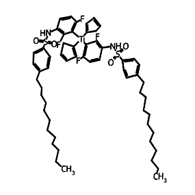 CCCCCCCCCCCCc1ccc(S(=O)(=O)Nc2ccc(F)[c]([Ti]([C]3=CC=CC3)([C]3=CC=CC3)[c]3c(F)ccc(NS(=O)(=O)c4ccc(CCCCCCCCCCCC)cc4)c3F)c2F)cc1